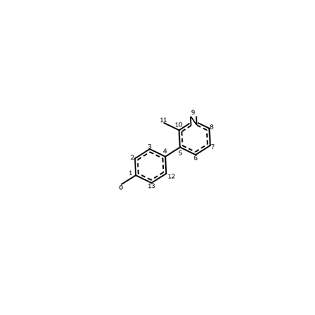 Cc1ccc(-c2cccnc2C)cc1